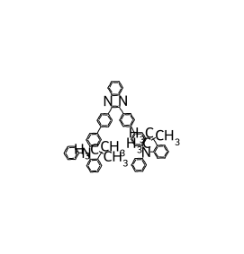 CC(C)(C)c1ccccc1N(c1ccccc1)c1ccc(-c2ccc(-c3nc4ccccc4nc3-c3ccc(-c4ccc(N(c5ccccc5)c5ccccc5C(C)(C)C)cc4)cc3)cc2)cc1